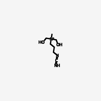 C[N+](CO)(CO)CCCN=C=N